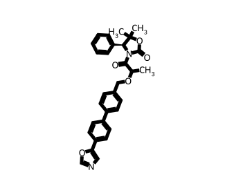 CC(OCc1ccc(-c2ccc(-c3cnco3)cc2)cc1)C(=O)N1C(=O)OC(C)(C)[C@@H]1c1ccccc1